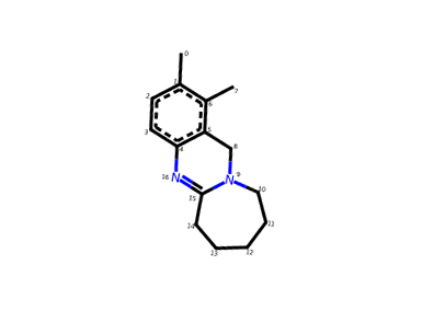 Cc1ccc2c(c1C)CN1CCCCCC1=N2